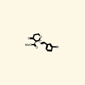 COC(=O)[C@H]1C(=O)CCO[C@@H]1/C=C/c1cccc(Br)c1